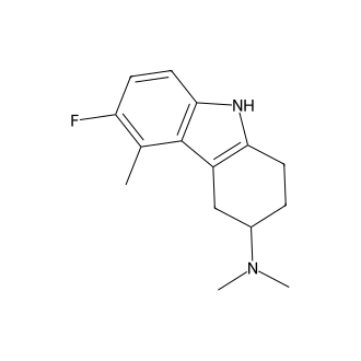 Cc1c(F)ccc2[nH]c3c(c12)CC(N(C)C)CC3